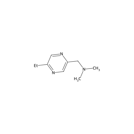 CCc1cnc(CN(C)C)cn1